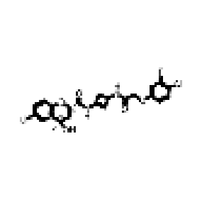 C[C@@]1(O)C[C@@H](C(=O)NC2=CC(NC(=O)COc3ccc(Cl)c(F)c3)C2)Oc2ccc(Cl)cc21